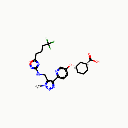 Cn1nnc(-c2ccc(O[C@H]3CCC[C@H](C(=O)O)C3)cn2)c1CNc1noc(CCCC(F)(F)F)n1